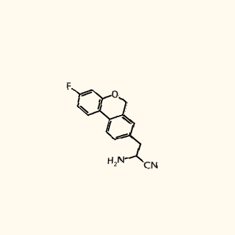 N#CC(N)Cc1ccc2c(c1)COc1cc(F)ccc1-2